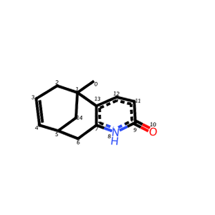 CC12CC=CC(Cc3[nH]c(=O)ccc31)C2